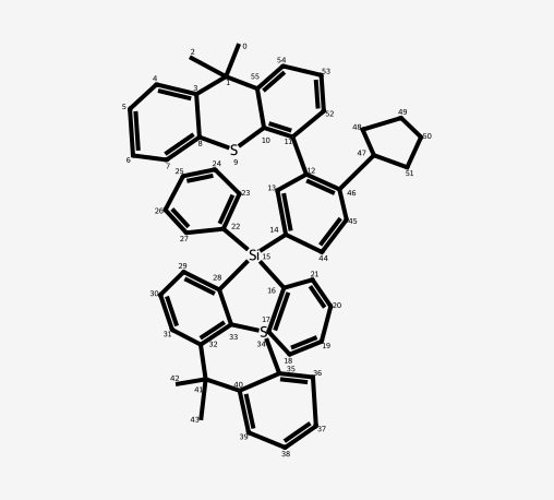 CC1(C)c2ccccc2Sc2c(-c3cc([Si](c4ccccc4)(c4ccccc4)c4cccc5c4Sc4ccccc4C5(C)C)ccc3C3CCCC3)cccc21